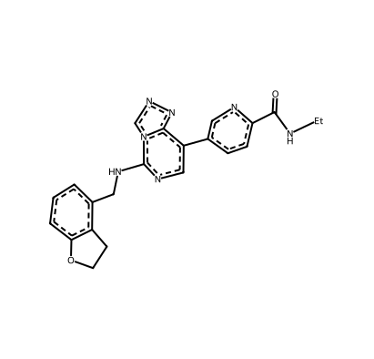 CCNC(=O)c1ccc(-c2cnc(NCc3cccc4c3CCO4)n3cnnc23)cn1